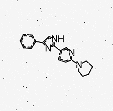 c1ccc(-c2c[nH]c(-c3ccc(N4CCCCC4)nc3)n2)cc1